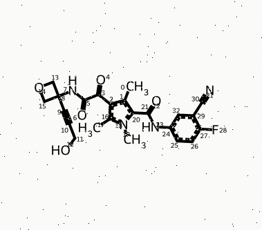 Cc1c(C(=O)C(=O)NC2(C#CCO)COC2)c(C)n(C)c1C(=O)Nc1ccc(F)c(C#N)c1